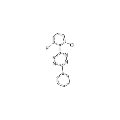 Fc1cccc(Cl)c1-c1nnc(-c2ccccc2)nn1